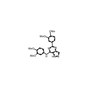 COc1ccc(Nc2nc(-c3ccc(OC)c(OC)c3)nc3cn[nH]c23)cc1OC